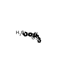 CN1CCCN(c2ccc(-n3cnc4cc(CN5CCCC5)sc4c3=O)cc2)CC1